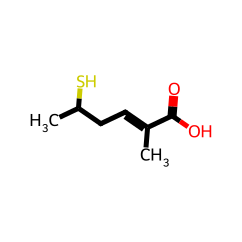 C/C(=C\CC(C)S)C(=O)O